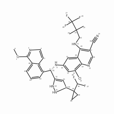 COc1nccc2c([C@H](Nc3cc(Cl)c4ncc(C#N)c(NCC(C)(C)C(F)(F)F)c4c3)C3=CN(C4(C(F)F)CC4)NN3)cccc12